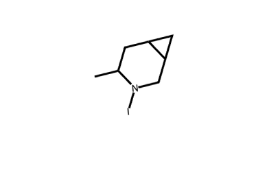 CC1CC2CC2CN1I